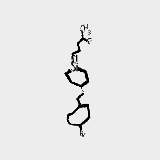 CC(F)CCC[Si@H]1CC[C@H](CCC2CCC(Br)CC2)CC1